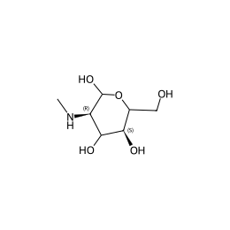 CN[C@H]1C(O)OC(CO)[C@@H](O)C1O